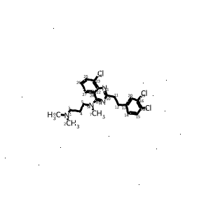 CN(C)CCCN(C)c1nc(CCc2ccc(Cl)c(Cl)c2)nc2c(Cl)cccc12